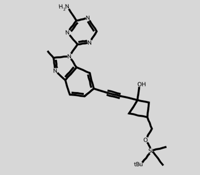 Cc1nc2ccc(C#CC3(O)CC(CO[Si](C)(C)C(C)(C)C)C3)cc2n1-c1ncnc(N)n1